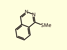 CSc1nncc2ccccc12